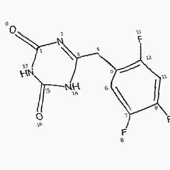 O=c1nc(Cc2cc(F)c(F)cc2F)[nH]c(=O)[nH]1